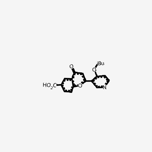 CCC(C)Oc1ccncc1-c1cc(=O)c2cc(C(=O)O)ccc2o1